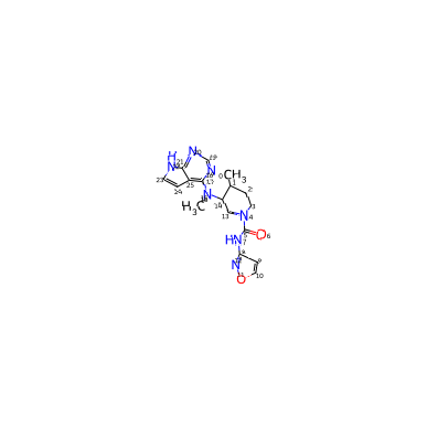 CC1CCN(C(=O)Nc2ccon2)CC1N(C)c1ncnc2[nH]ccc12